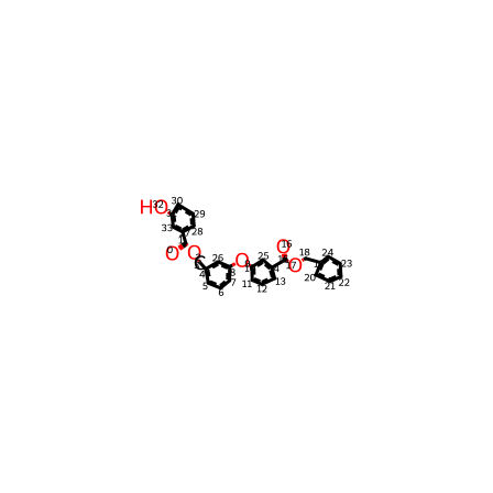 O=C(OCc1cccc(Oc2cccc(C(=O)OCc3ccccc3)c2)c1)c1cccc(O)c1